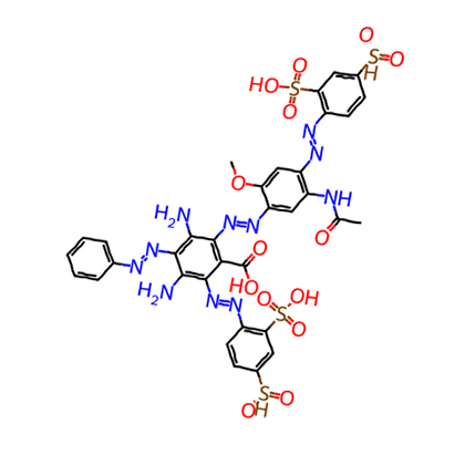 COc1cc(N=Nc2ccc([SH](=O)=O)cc2S(=O)(=O)O)c(NC(C)=O)cc1N=Nc1c(N)c(N=Nc2ccccc2)c(N)c(N=Nc2ccc([SH](=O)=O)cc2S(=O)(=O)O)c1C(=O)O